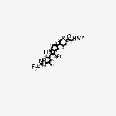 CNCC(=O)N1CCC(c2ccc3[nH]c(-c4cc(C)c5nc(C(F)(F)F)nn5c4)c(C(C)C)c3c2)CC1